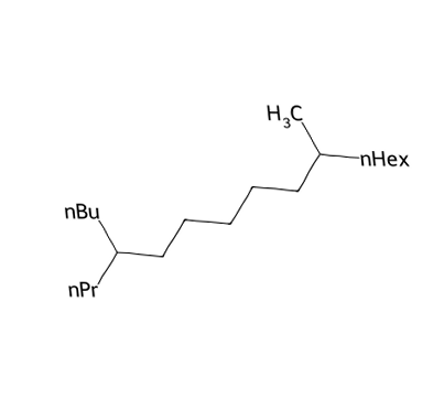 CCCCCCC(C)CCCCCC(CCC)CCCC